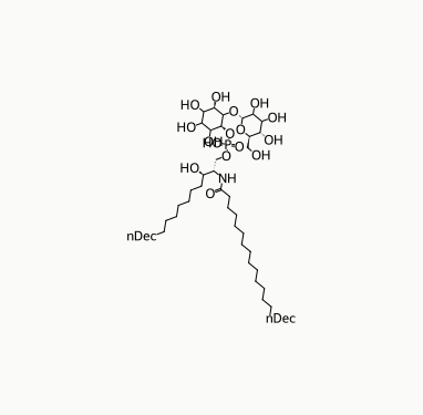 CCCCCCCCCCCCCCCCCCCCCCCC(=O)N[C@@H](COP(=O)(O)O[C@H]1C(O)C(O)C(O)[C@@H](O)C1O[C@H]1O[C@H](CO)[C@@H](O)C(O)C1O)[C@H](O)CCCCCCCCCCCCCCCCC